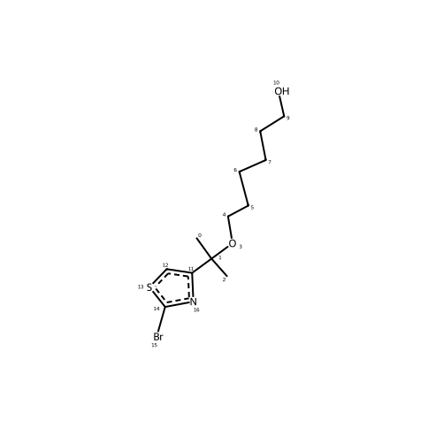 CC(C)(OCCCCCCO)c1csc(Br)n1